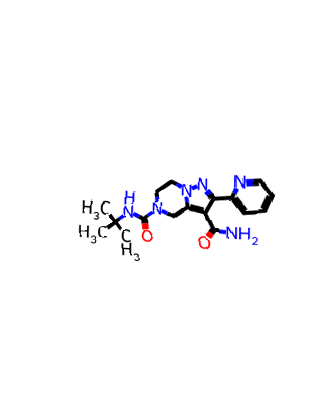 CC(C)(C)NC(=O)N1CCn2nc(-c3ccccn3)c(C(N)=O)c2C1